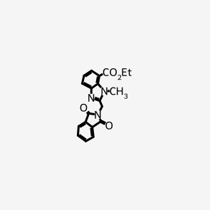 CCOC(=O)c1cccc2nc(CN3C(=O)c4ccccc4C3=O)n(C)c12